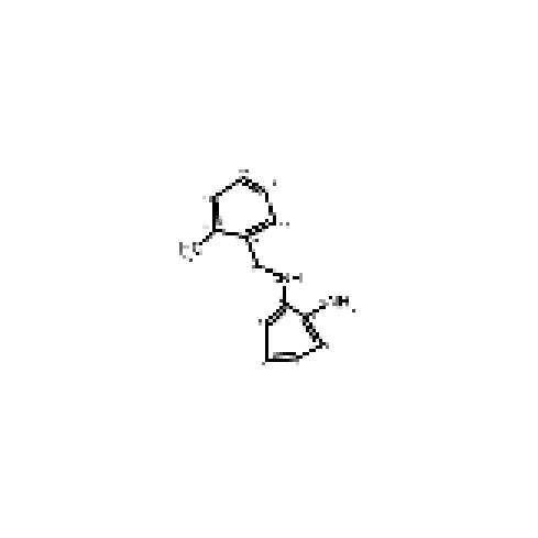 Nc1ccccc1NCc1ccccc1O